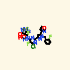 NC(=O)[C@](O)(CNc1nc(-c2cc(-c3ccon3)n(Cc3ccccc3F)n2)nc(Cl)c1F)C(F)(F)F